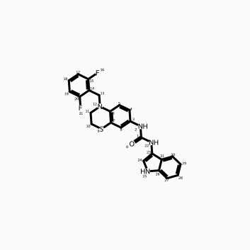 O=C(Nc1ccc2c(c1)SCCN2Cc1c(F)cccc1F)Nc1c[nH]c2ccccc12